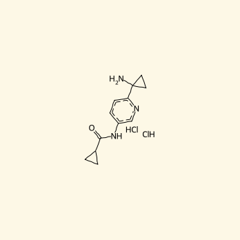 Cl.Cl.NC1(c2ccc(NC(=O)C3CC3)cn2)CC1